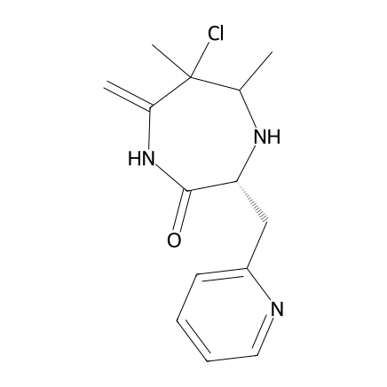 C=C1NC(=O)[C@@H](Cc2ccccn2)NC(C)C1(C)Cl